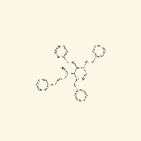 O=CC(OCc1ccccc1)C(OCc1ccccc1)C(OCc1ccccc1)C(O)COCc1ccccc1